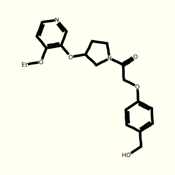 CCOc1ccncc1OC1CCN(C(=O)COc2ccc(CO)cc2)C1